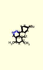 CCC(C)c1ccc(-c2nncc3c2C(CC)C(C)CC3C)cc1